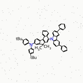 CC(C)(C)c1ccc(N(c2ccc(C(C)(C)C)cc2)c2ccc3c(c2)C(C)(C)c2cc(-n4c5ccc(-c6ccccc6)cc5c5cc(-c6ccccc6)ccc54)c4ccccc4c2-3)cc1